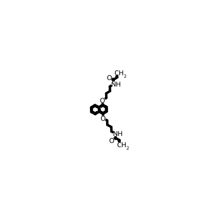 C=CC(=O)NCCCCOc1ccc(OCCCCNC(=O)C=C)c2ccccc12